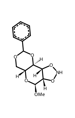 CO[C@H]1O[C@@H]2COC(c3ccccc3)O[C@H]2[C@@H]2ONO[C@H]12